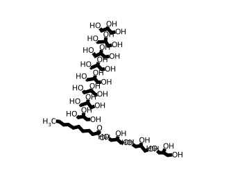 CCCCCCCCCC(=O)O.OCC(O)CO.OCC(O)CO.OCC(O)CO.OCC(O)CO.OCC(O)CO.OCC(O)CO.OCC(O)CO.OCC(O)CO.OCC(O)CO.OCC(O)CO.OCC(O)CO